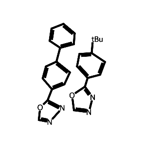 CC(C)(C)c1ccc(-c2nnco2)cc1.c1ccc(-c2ccc(-c3nnco3)cc2)cc1